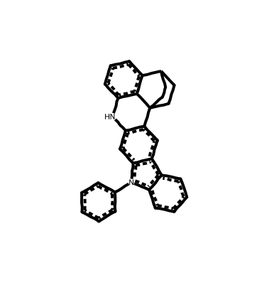 c1ccc(-n2c3ccccc3c3cc4c(cc32)Nc2cccc3c2C42CCC3CC2)cc1